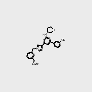 COCc1cccc(Cn2cc(-c3cc(-c4cccc(C#N)c4)nc(N[C@H]4CCOC4)n3)nn2)n1